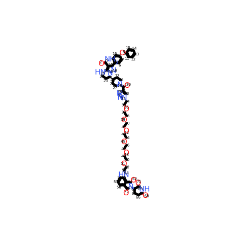 NC(=O)c1c(-c2ccc(Oc3ccccc3)cc2)nn2c1NCC[C@H]2C1CCN(C(=O)c2cn(CCOCCOCCOCCOCCOCCOCCNc3cccc4c3C(=O)N(C3CCC(=O)NC3=O)C4=O)nn2)CC1